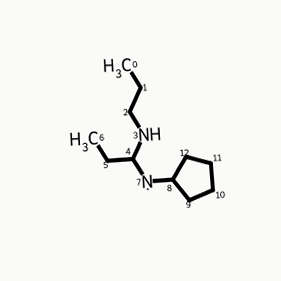 CCCNC(CC)[N]C1CCCC1